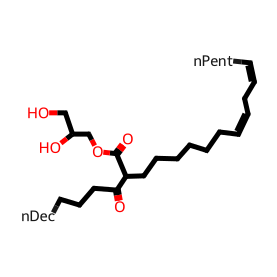 CCCCC/C=C\C/C=C\CCCCCCC(C(=O)CCCCCCCCCCCCC)C(=O)OCC(O)CO